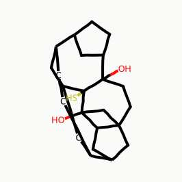 OC12CCC34CC5CC3C(O)(C4)C1(S)C1CC(CCC5C1)C1CCC2C1